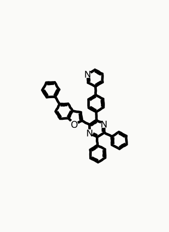 c1ccc(-c2ccc3oc(-c4nc(-c5ccccc5)c(-c5ccccc5)nc4-c4ccc(-c5cccnc5)cc4)cc3c2)cc1